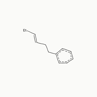 [CH2]CC=CCCc1ccccc1